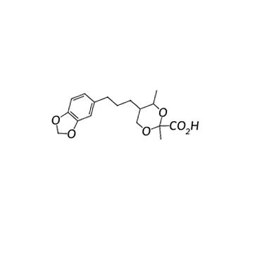 CC1OC(C)(C(=O)O)OCC1CCCc1ccc2c(c1)OCO2